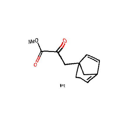 COC(=O)C(=O)CC12C=CC(=CC1)C2.[Pt]